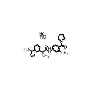 Cc1cc(NC(=O)C(N)c2cccc(C(=N)N)c2)ccc1C(=O)N1CCCC1.Cl.Cl